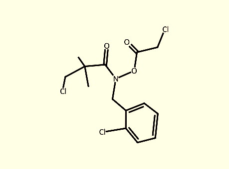 CC(C)(CCl)C(=O)N(Cc1ccccc1Cl)OC(=O)CCl